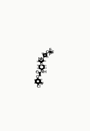 O=C(COc1ccc(Cl)c(F)c1)NC1CCN(c2cnn([C@H]3C[C@@H](OC(F)(F)F)C3)c2)CC1